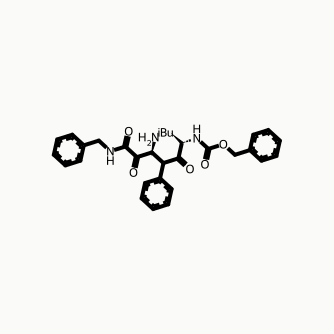 CC[C@H](C)[C@H](NC(=O)OCc1ccccc1)C(=O)C(c1ccccc1)[C@H](N)C(=O)C(=O)NCc1ccccc1